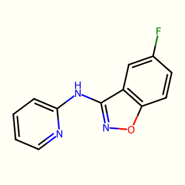 Fc1ccc2onc(Nc3ccccn3)c2c1